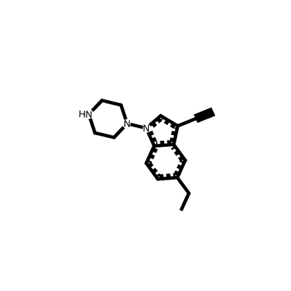 C#Cc1cn(N2CCNCC2)c2ccc(CC)cc12